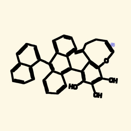 C=C1CC/C=C\Oc2c(O)c(O)c(O)c(-c3c4ccccc4c(-c4cccc5ccccc45)c4ccccc34)c21